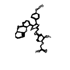 COc1ccc(-c2nc(COc3ccc(OCC(=O)O)c(C)c3)sc2-c2cccc3c2Oc2ccccc2S3)cc1